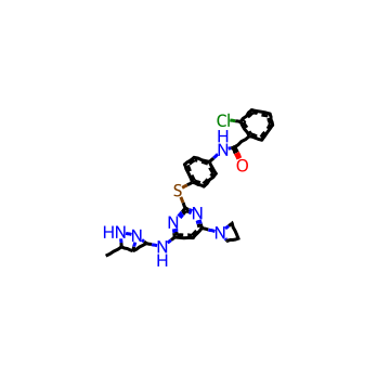 CC1NN2C(Nc3cc(N4CCC4)nc(Sc4ccc(NC(=O)c5ccccc5Cl)cc4)n3)C12